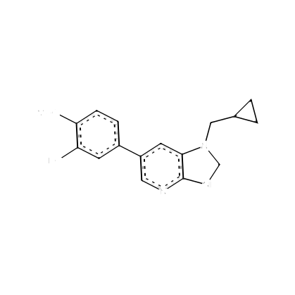 COc1ccc(-c2cnc3c(c2)N(CC2CC2)CN3)cc1C